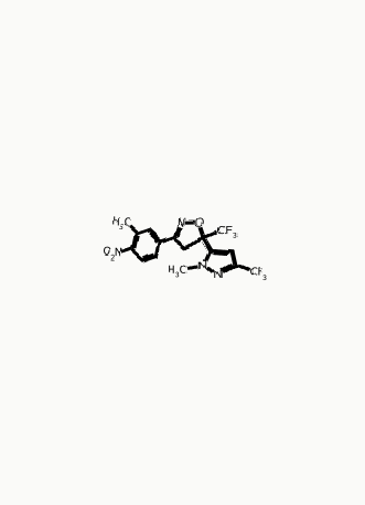 Cc1cc(C2=NOC(c3cc(C(F)(F)F)nn3C)(C(F)(F)F)C2)ccc1[N+](=O)[O-]